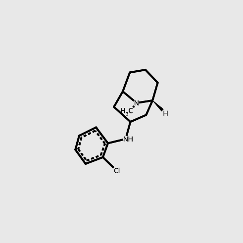 CN1C2CCC[C@@H]1CC(Nc1ccccc1Cl)C2